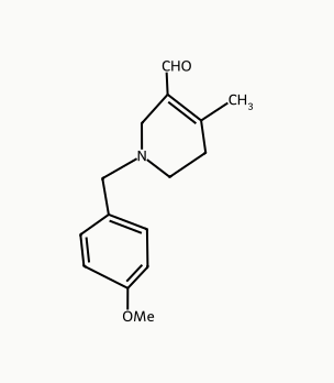 COc1ccc(CN2CCC(C)=C(C=O)C2)cc1